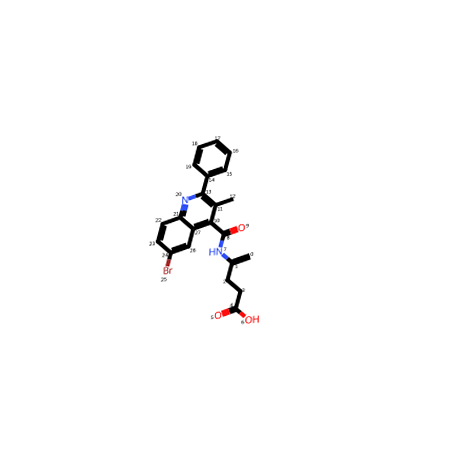 C=C(CCC(=O)O)NC(=O)c1c(C)c(-c2ccccc2)nc2ccc(Br)cc12